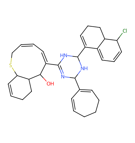 OC1/C(C2=NC(C3=CCCCC=C3)NC(C3=CCCC4C3=CC=CC4Cl)N2)=C\C=C/CSC2C=CCCC21